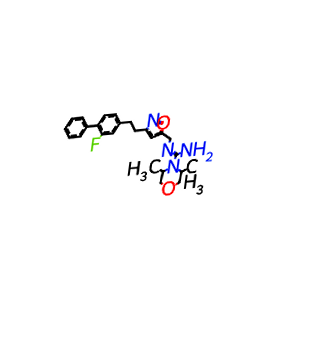 CC1COCC(C)N1C(N)=NCc1cc(CCc2ccc(-c3ccccc3)c(F)c2)no1